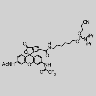 CC(=O)Nc1ccc2c(c1)Oc1cc(NC(=O)C(F)(F)F)ccc1C21OC(=O)c2ccc(C(=O)NCCCCCCOP(OCCC#N)N(C(C)C)C(C)C)cc21